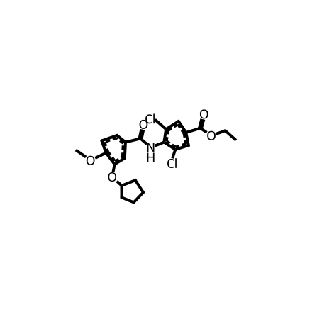 CCOC(=O)c1cc(Cl)c(NC(=O)c2ccc(OC)c(OC3CCCC3)c2)c(Cl)c1